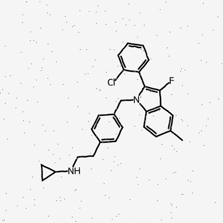 Cc1ccc2c(c1)c(F)c(-c1ccccc1Cl)n2Cc1ccc(CCNC2CC2)cc1